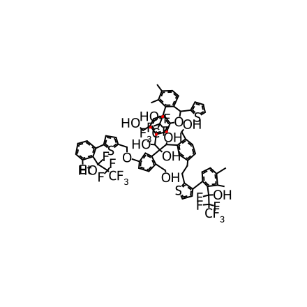 CCc1cccc(-c2ccc(COc3ccc(CO)c(C(O)(C(O)c4cc(CCc5sccc5-c5ccc(C)c(C)c5C(O)(F)C(F)(F)C(F)(F)F)ccc4CO)C(O)c4cc(OC(c5cccs5)c5ccc(C)c(C)c5C(O)(F)C(F)(F)C(F)(F)F)ccc4CO)c3)s2)c1C(O)(F)C(F)(F)C(F)(F)F